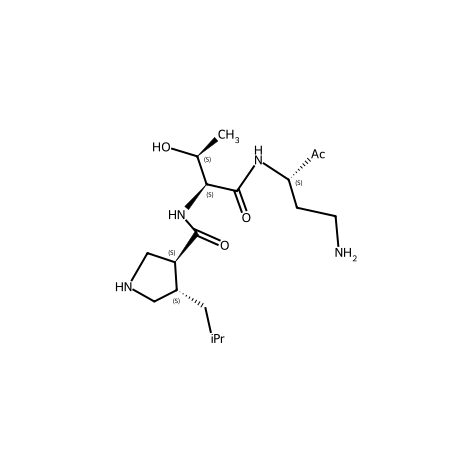 CC(=O)[C@H](CCN)NC(=O)[C@@H](NC(=O)[C@@H]1CNC[C@H]1CC(C)C)[C@H](C)O